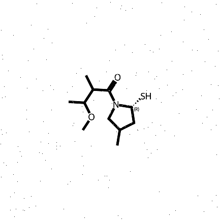 COC(C)C(C)C(=O)N1CC(C)C[C@H]1S